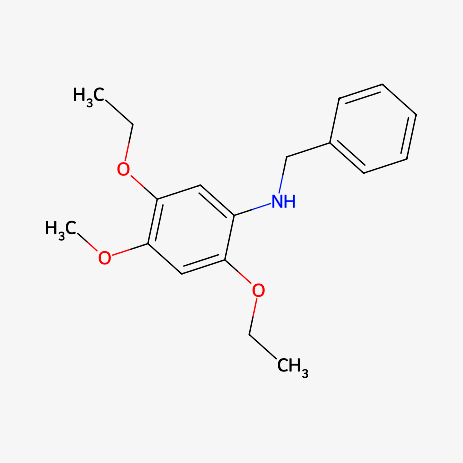 CCOc1cc(OC)c(OCC)cc1NCc1ccccc1